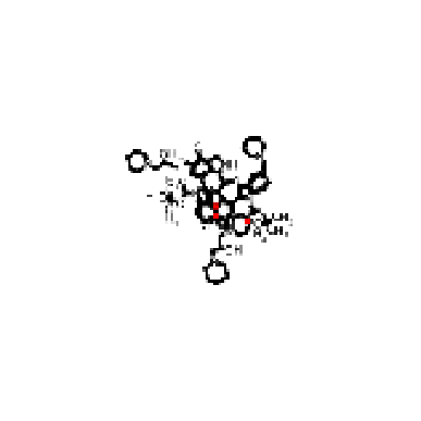 CC(C)(C)OC(=O)n1c(-c2cc(OCC(O)CN3CCCCC3)c(Cl)c3c2C(C(=O)C2NCc4c(Cl)c(OCC(O)CN5CCCCC5)cc(-c5cc6cc(CN7CCCCC7)ccc6n5C(=O)OC(C)(C)C)c42)NC3)cc2cc(CN3CCCCC3)ccc21